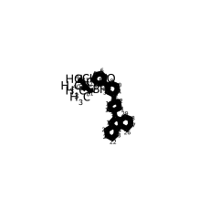 C[C@@H](Bc1cccc2oc3ccc(-c4ccc(-c5cc6ccccc6c6ccccc56)cc4)cc3c12)C(C)(C)C(C)(C)O